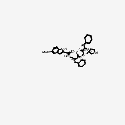 COc1ccc2[nH]c(C(=O)N[C@H](CC3CCCCC3)C(=O)N[C@@H](C[C@@]3(C=O)CCNC3)C(=O)C(=O)NC3CCCCC3)cc2c1